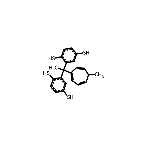 CC1C=CC=C(C(C)(c2cc(S)ccc2S)c2cc(S)ccc2S)C=C1